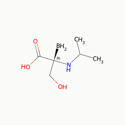 B[C@](CO)(NC(C)C)C(=O)O